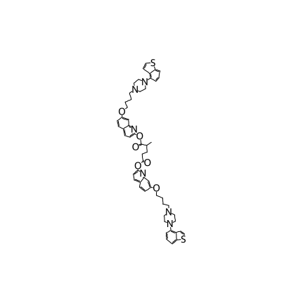 CC(CCC(=O)Oc1ccc2ccc(OCCCCN3CCN(c4cccc5sccc45)CC3)cc2n1)C(=O)Oc1ccc2ccc(OCCCCN3CCN(c4cccc5sccc45)CC3)cc2n1